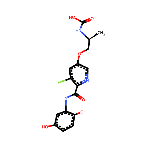 C[C@@H](COc1cnc(C(=O)Nc2cc(O)ccc2O)c(F)c1)NC(=O)O